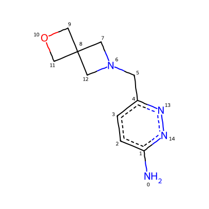 Nc1ccc(CN2CC3(COC3)C2)nn1